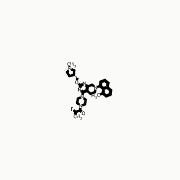 C=C(F)C(=O)N1CCN(c2nc(OC[C@@H]3CCN(C)C3)nc3c2CCN(c2cccc4cccc(C)c24)C3)CC1